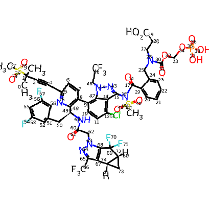 CC(C)(C#Cc1ccc(-c2ccc(Cl)c3c(N(C(=O)c4ccccc4CN(CCC(=O)O)C(=O)OCOP(=O)(O)O)S(C)(=O)=O)nn(CC(F)(F)F)c23)c([C@H](Cc2cc(F)cc(F)c2)NC(=O)Cn2nc(C(F)(F)F)c3c2C(F)(F)[C@@H]2C[C@H]32)n1)S(C)(=O)=O